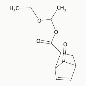 CCOC(C)OC(=O)C1CC2C=CC1C2=O